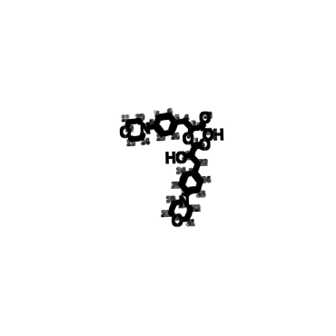 O=C(OC(Cc1ccc(N2CCOCC2)cc1)C(=O)O)C(O)Cc1ccc(N2CCOCC2)cc1